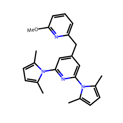 COc1cccc(Cc2cc(-n3c(C)ccc3C)nc(-n3c(C)ccc3C)c2)n1